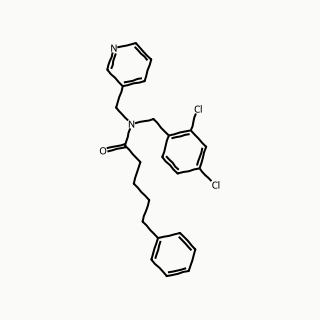 O=C(CCCCc1ccccc1)N(Cc1cccnc1)Cc1ccc(Cl)cc1Cl